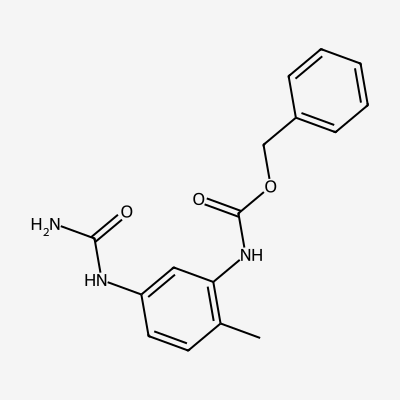 Cc1ccc(NC(N)=O)cc1NC(=O)OCc1ccccc1